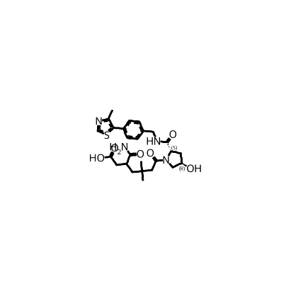 Cc1ncsc1-c1ccc(CNC(=O)[C@@H]2C[C@@H](O)CN2C(=O)CC(C)(C)CC(CC(=O)O)C(N)=O)cc1